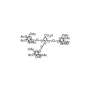 CC(=O)N[C@H]1[C@H](OCCOCCOc2cc(C(=O)O)cc(OCCOCCO[C@@H]3O[C@H](COC(C)=O)[C@H](OC(C)=O)[C@H](OC(C)=O)[C@H]3NC(C)=O)c2OCCOCCO[C@@H]2O[C@H](COC(C)=O)[C@H](OC(C)=O)[C@H](OC(C)=O)[C@H]2NC(C)=O)O[C@H](COC(C)=O)[C@H](OC(C)=O)[C@@H]1OC(C)=O